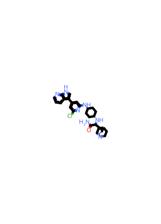 NC(=O)C(N[C@H]1CC[C@H](Nc2cc(-c3c[nH]c4ncccc34)cc(Cl)n2)CC1)C1CN2CCC1CC2